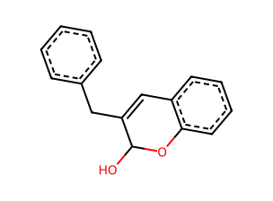 OC1Oc2ccccc2C=C1Cc1ccccc1